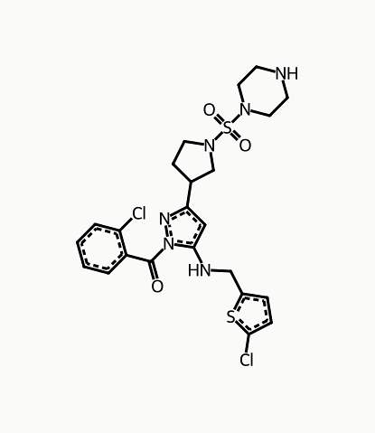 O=C(c1ccccc1Cl)n1nc(C2CCN(S(=O)(=O)N3CCNCC3)C2)cc1NCc1ccc(Cl)s1